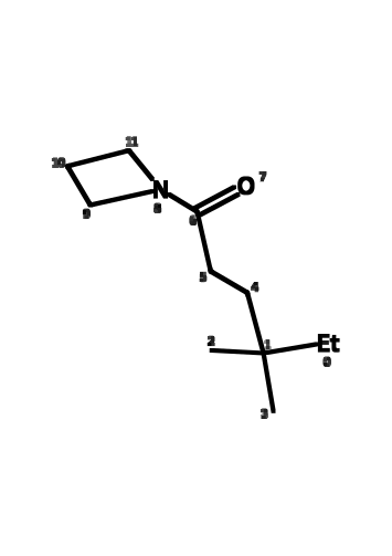 CCC(C)(C)CCC(=O)N1CCC1